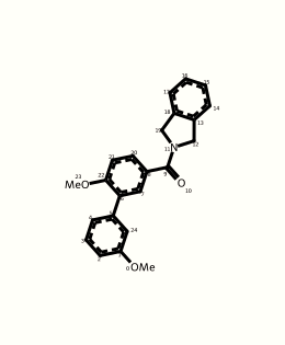 COc1cccc(-c2cc(C(=O)N3Cc4ccccc4C3)ccc2OC)c1